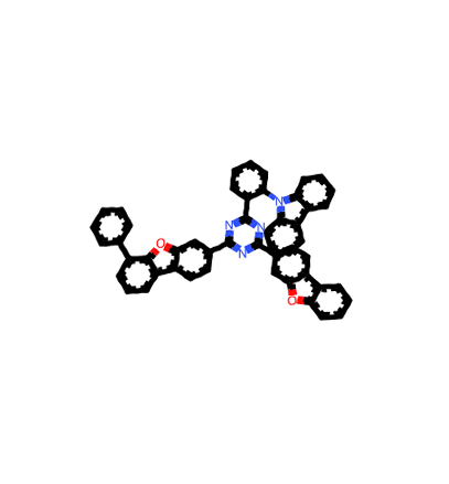 c1ccc(-c2cccc3c2oc2cc(-c4nc(-c5ccc6c(c5)oc5ccccc56)nc(-c5ccccc5-n5c6ccccc6c6ccccc65)n4)ccc23)cc1